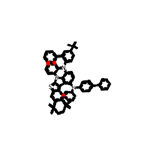 CC(C)(C)c1ccc(N2c3ccccc3B3c4sc5cc6c(cc5c4-c4c(N(c5ccccc5)c5ccc(-c7ccccc7)cc5)ccc2c43)C(C)(C)CCC6(C)C)c(-c2ccccc2)c1